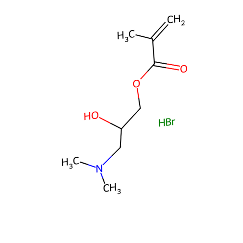 Br.C=C(C)C(=O)OCC(O)CN(C)C